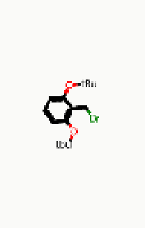 CC(C)(C)Oc1cccc(OC(C)(C)C)c1CBr